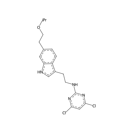 CC(C)OCCc1ccc2c(CCNc3nc(Cl)cc(Cl)n3)c[nH]c2c1